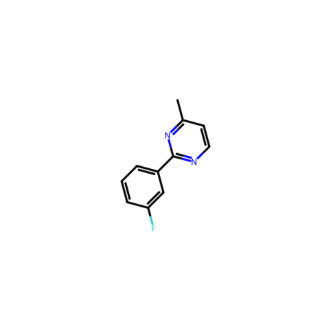 Cc1ccnc(-c2cccc(F)c2)n1